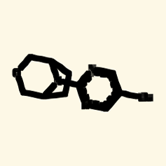 CC(C)(C)c1cnc(N2C3CCC2COC3)nc1